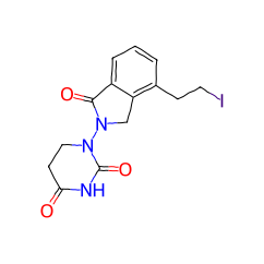 O=C1CCN(N2Cc3c(CCI)cccc3C2=O)C(=O)N1